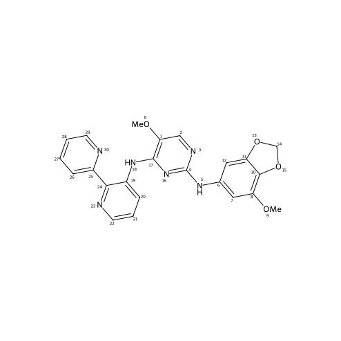 COc1cnc(Nc2cc(OC)c3c(c2)OCO3)nc1Nc1cccnc1-c1ccccn1